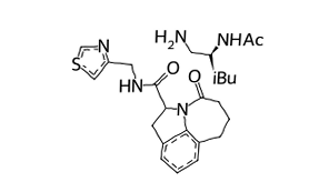 CC[C@H](C)[C@@H](CN)NC(C)=O.O=C(NCc1cscn1)C1Cc2cccc3c2N1C(=O)CCC3